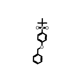 CC(C)(C)S(=O)(=O)c1ccc(OCc2ccccc2)cc1